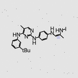 C/C(=C/Nc1ccc(Nc2ncc(C)c(Nc3cccc(C(C)(C)C)c3)n2)cc1)NI